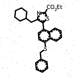 CCOC(=O)c1nc(CC2CCCCC2)c(-c2ccc(SCc3ccccc3)c3ccccc23)s1